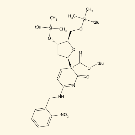 CC(C)(C)OC(=O)[N+]1([C@H]2C[C@H](O[Si](C)(C)C(C)(C)C)[C@@H](CO[Si](C)(C)C(C)(C)C)O2)C=CC(NCc2ccccc2[N+](=O)[O-])=NC1=O